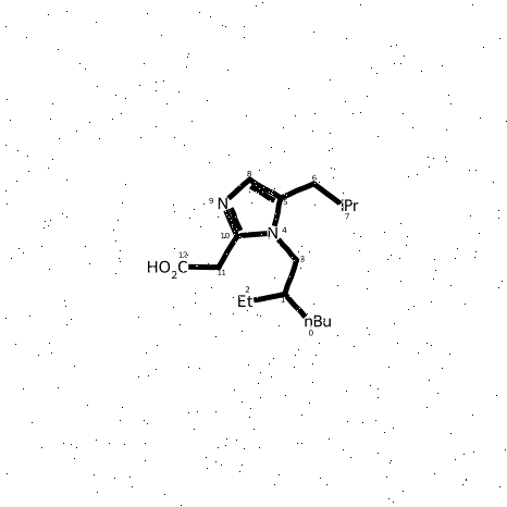 CCCCC(CC)Cn1c(CC(C)C)cnc1CC(=O)O